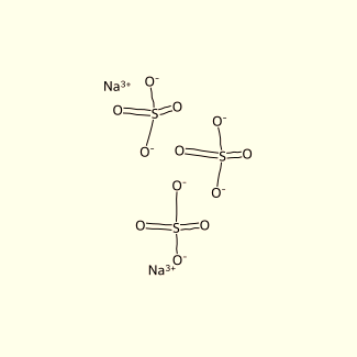 O=S(=O)([O-])[O-].O=S(=O)([O-])[O-].O=S(=O)([O-])[O-].[Na+3].[Na+3]